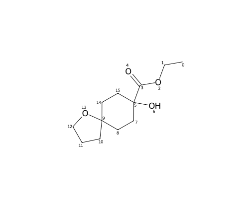 CCOC(=O)C1(O)CCC2(CCCO2)CC1